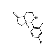 Cc1cc(F)ccc1[C@@H]1NCCN2C(=O)CC[C@@H]12